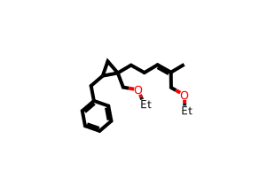 CCOCC(C)=CCCC1(COCC)CC1Cc1ccccc1